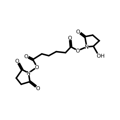 O=C(CCCCC(=O)ON1C(=O)CCC1O)ON1C(=O)CCC1=O